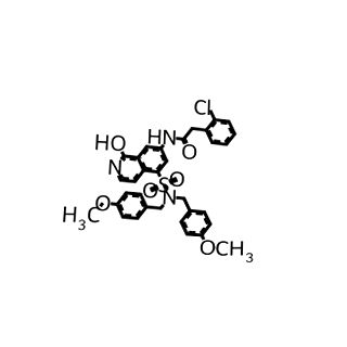 COc1ccc(CN(Cc2ccc(OC)cc2)S(=O)(=O)c2cc(NC(=O)Cc3ccccc3Cl)cc3c(O)nccc23)cc1